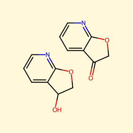 O=C1COc2ncccc21.OC1COc2ncccc21